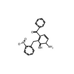 N=C1C(Cc2ccccc2[N+](=O)[O-])=C(C(=O)c2ccccc2)C=CC1N